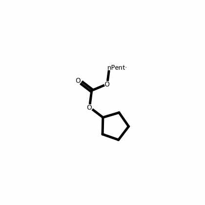 CCCC[CH]OC(=O)OC1CCCC1